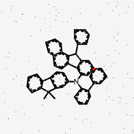 CC1(C)c2ccccc2-c2ccc(N(c3ccccc3-c3ccccc3)c3cccc4c3-c3ccc5ccccc5c3C4c3ccccc3)cc21